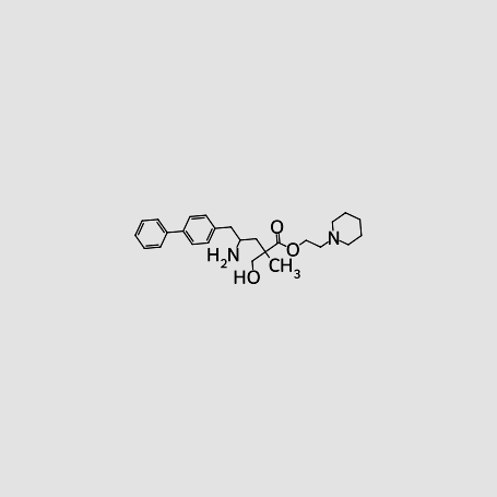 CC(CO)(CC(N)Cc1ccc(-c2ccccc2)cc1)C(=O)OCCN1CCCCC1